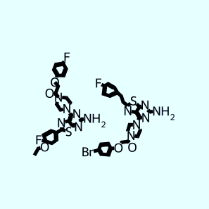 CCOC1(F)C=CC(c2nc3c(N4CCN(C(=O)COc5ccc(F)cc5)CC4)nc(N)nc3s2)=CC1.Nc1nc(N2CCN(C(=O)COc3ccc(Br)cc3)CC2)c2nc(CCc3ccc(F)cc3)sc2n1